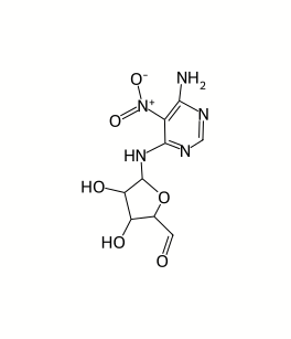 Nc1ncnc(NC2OC(C=O)C(O)C2O)c1[N+](=O)[O-]